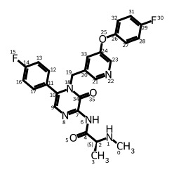 CN[C@@H](C)C(=O)Nc1ncc(-c2ccc(F)cc2)n(Cc2cncc(Oc3ccc(F)cc3)c2)c1=O